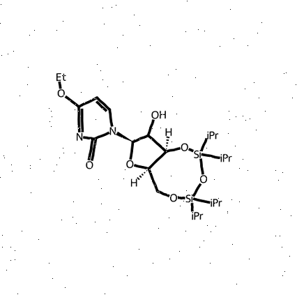 CCOc1ccn([C@@H]2O[C@@H]3CO[Si](C(C)C)(C(C)C)O[Si](C(C)C)(C(C)C)O[C@@H]3C2O)c(=O)n1